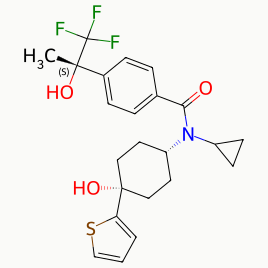 C[C@](O)(c1ccc(C(=O)N(C2CC2)[C@H]2CC[C@](O)(c3cccs3)CC2)cc1)C(F)(F)F